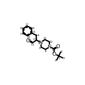 CC(C)(C)OC(=O)N1CCN(C(C=O)Cc2ccccc2)CC1